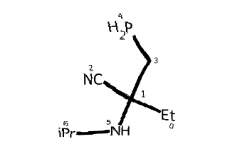 CCC(C#N)(CP)NC(C)C